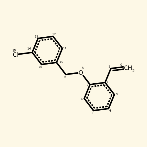 C=Cc1ccccc1OCc1cccc(Cl)c1